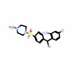 CC(=O)C(c1ccc(S(=O)(=O)N2CCN(C)CC2)cc1)c1ccc(Cl)cc1N